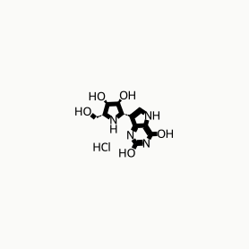 Cl.OC[C@H]1N[C@@H](c2c[nH]c3c(O)nc(O)nc23)[C@H](O)[C@@H]1O